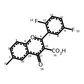 Cc1ccc2oc(-c3cc(F)ccc3F)c(C(=O)O)c(=O)c2c1